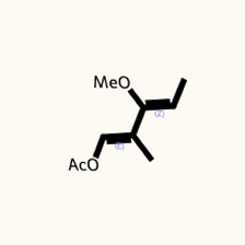 C/C=C(OC)/C(C)=C/OC(C)=O